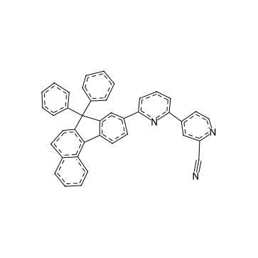 N#Cc1cc(-c2cccc(-c3ccc4c(c3)C(c3ccccc3)(c3ccccc3)c3ccc5ccccc5c3-4)n2)ccn1